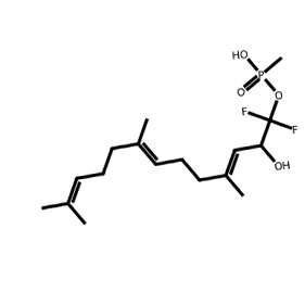 CC(C)=CCCC(C)=CCCC(C)=CC(O)C(F)(F)OP(C)(=O)O